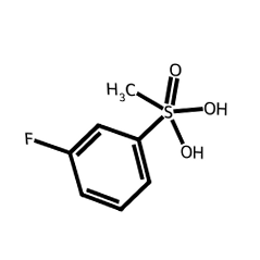 CS(=O)(O)(O)c1cccc(F)c1